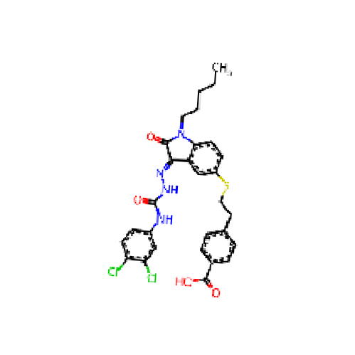 CCCCCN1C(=O)/C(=N/NC(=O)Nc2ccc(Cl)c(Cl)c2)c2cc(SCCc3ccc(C(=O)O)cc3)ccc21